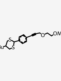 COCCOCC#Cc1ccc(C2SCC(C(C)(C)C)CS2)cc1